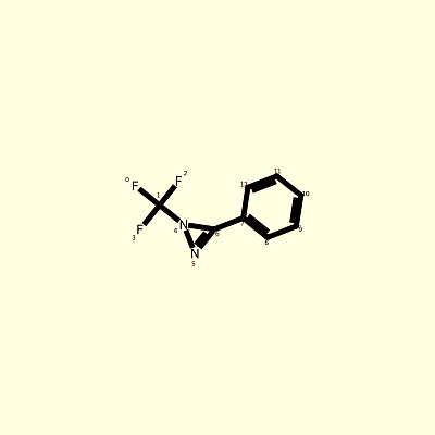 FC(F)(F)N1N=C1c1c[c]ccc1